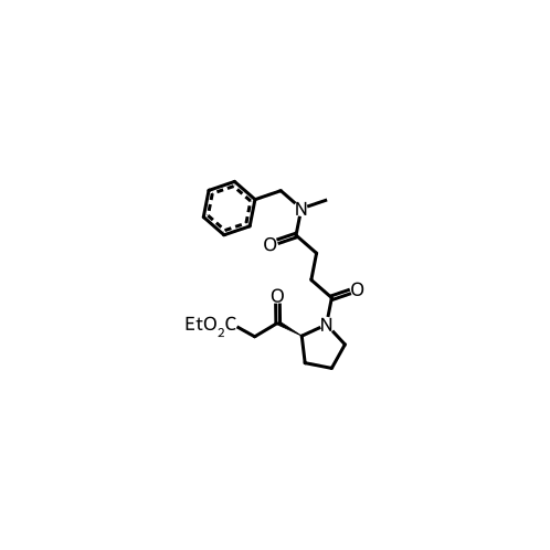 CCOC(=O)CC(=O)[C@@H]1CCCN1C(=O)CCC(=O)N(C)Cc1ccccc1